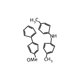 COc1ccc(-c2ccccc2)cc1.Cc1ccc(Nc2ccc(C)cc2)cc1